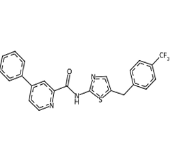 O=C(Nc1ncc(Cc2ccc(C(F)(F)F)cc2)s1)c1cc(-c2ccccc2)ccn1